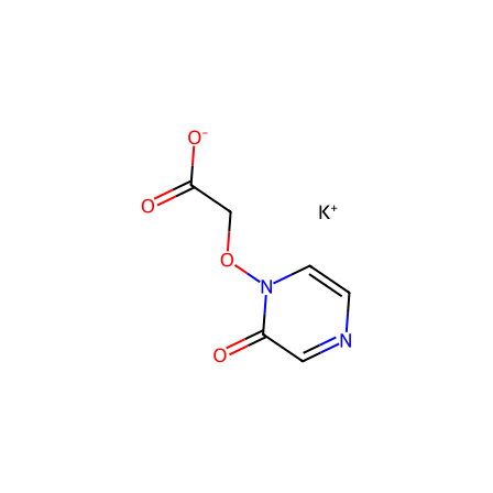 O=C([O-])COn1ccncc1=O.[K+]